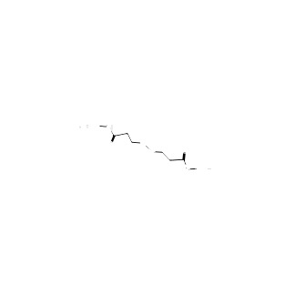 CCCCCNC(=O)CCSSCCC(=O)NCCCCC